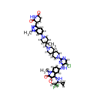 Cn1nc(C2CCC(=O)NC2=O)c2ccc(N3CCC(C)(CN4CCC5(CC4)CCN(c4ncc(Cl)c(Nc6ccc7c(c6)c6c(c(=O)n7C)OCC(F)(F)[C@H](C7CC7)N6)n4)CC5)CC3)cc21